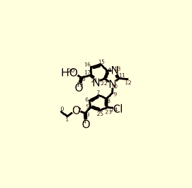 CCOC(=O)c1ccc(Cn2c(C)nc3ccc(C(=O)O)nc32)c(Cl)c1